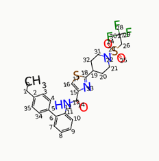 CCc1ccc(-c2ccccc2NC(=O)c2csc(C3CCN(S(=O)(=O)CC(F)(F)F)CC3)n2)cc1